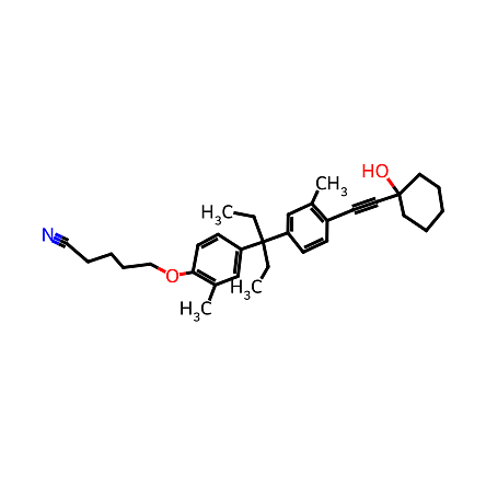 CCC(CC)(c1ccc(C#CC2(O)CCCCC2)c(C)c1)c1ccc(OCCCCC#N)c(C)c1